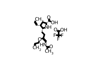 C=CCO/C(=C\NC(C)=O)CC[C@H]1N[C@@H](C(=O)O)C[C@H]1/C=C\C.O=C(O)C(F)(F)F